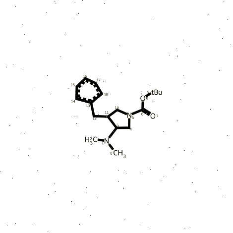 CN(C)C1CN(C(=O)OC(C)(C)C)CC1Cc1ccccc1